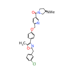 CN[C@@H]1CCN(C(=O)c2ccc(COc3ccc(-c4nc(Cc5cccc(Cl)c5)oc4C)cc3)nc2)C1